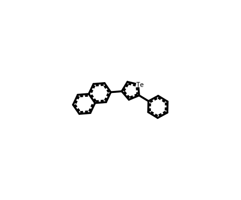 c1ccc(-c2cc(-c3ccc4ccccc4c3)c[te]2)cc1